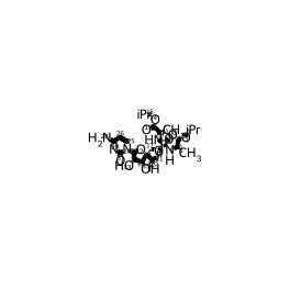 CC(C)OC(=O)[C@H](C)NP(=O)(N[C@@H](C)C(=O)OC(C)C)OC[C@@]1(C(F)F)O[C@@H](n2ccc(N)nc2=O)[C@H](O)[C@@H]1O